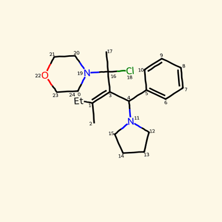 CCC(C)=C(C(c1ccccc1)N1CCCC1)C(C)(Cl)N1CCOCC1